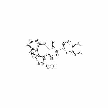 CC(=O)SC(Cc1ccccc1)C(=O)N[C@H]1Cc2ccccc2[C@H]2SC[C@@H](C(=O)O)N2C1=O